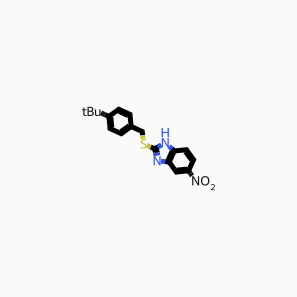 CC(C)(C)c1ccc(CSc2nc3cc([N+](=O)[O-])ccc3[nH]2)cc1